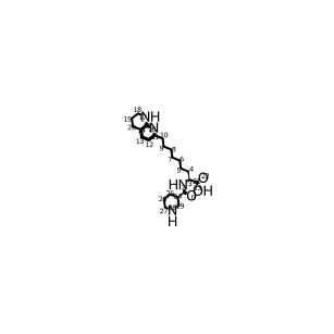 O=C(N[C@@H](CCCCCCCc1ccc2c(n1)NCCC2)C(=O)O)[C@@H]1CCCNC1